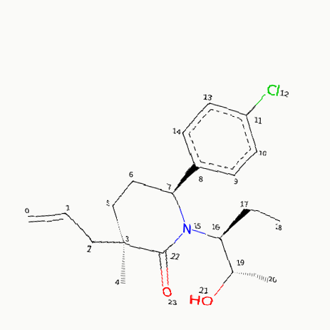 C=CC[C@@]1(C)CC[C@@H](c2ccc(Cl)cc2)N([C@@H](CC)[C@H](C)O)C1=O